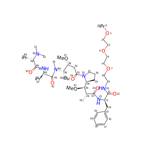 CCCOCCOCCOCCNC(=O)[C@@H](Cc1ccccc1)NC(=O)[C@H](C)[C@@H](OC)[C@@H]1CCCN1C(=O)C[C@@H](OC)[C@H]([C@@H](C)CC)N(C)C(=O)[C@H](NC(=O)[C@H](C(C)C)N(C)C)C(C)C